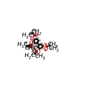 C=C(C)C(=O)Oc1cc(OC(=O)C(=C)C)c(C(F)(F)F)c(-c2ccc(OC(=O)C(=C)C)c(OC(=O)C(=C)C)c2)c1